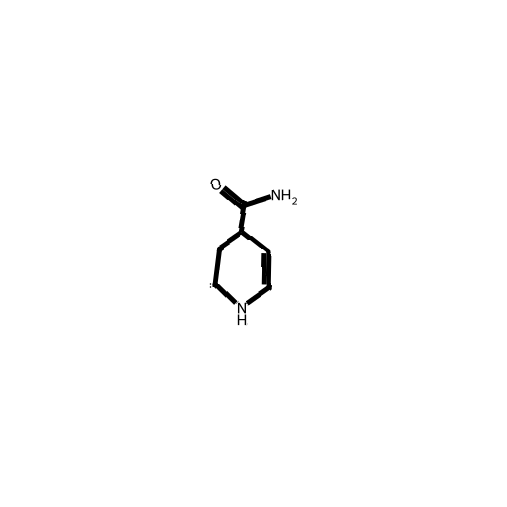 NC(=O)C1C=CN[C]C1